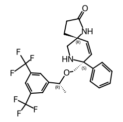 C[C@@H](OC[C@@]1(c2ccccc2)C=C[C@]2(CCC(=O)N2)CN1)c1cc(C(F)(F)F)cc(C(F)(F)F)c1